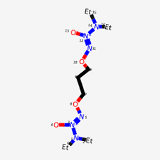 CCN(CC)[N+]([O-])=NOCCCON=[N+]([O-])N(CC)CC